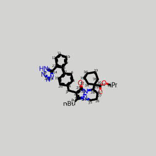 CCCCc1c(Cc2ccc(-c3ccccc3-c3nnn[nH]3)cc2)c(=O)n2n1CCCC2C1(C(=O)OC(C)C)CCCCC1